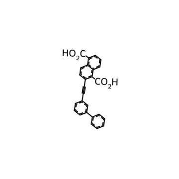 O=C(O)c1cccc2c(C(=O)O)c(C#Cc3cccc(-c4ccccc4)c3)ccc12